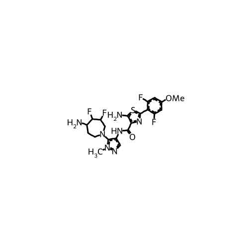 COc1cc(F)c(-c2nc(C(=O)Nc3cnn(C)c3N3CCC(N)C(F)C(F)C3)c(N)s2)c(F)c1